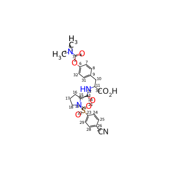 CN(C)C(=O)Oc1ccc(CC(NC(=O)[C@@H]2CCCN2S(=O)(=O)c2ccc(C#N)cc2)C(=O)O)cc1